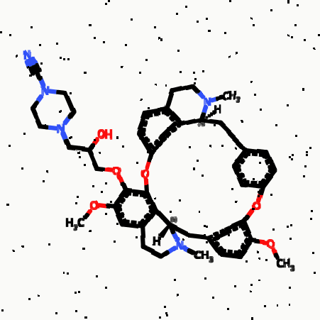 COc1ccc2cc1Oc1ccc(cc1)C[C@H]1c3cc(ccc3CCN1C)Oc1c(OCC(O)CN3CCN(C#N)CC3)c(OC)cc3c1[C@H](C2)N(C)CC3